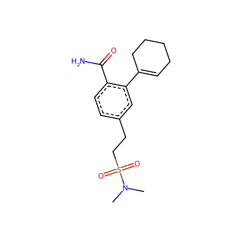 CN(C)S(=O)(=O)CCc1ccc(C(N)=O)c(C2=CCCCC2)c1